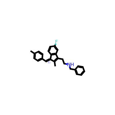 CC1=C(CCNCc2ccccc2)c2cc(F)ccc2/C1=C\c1ccc(C)cc1